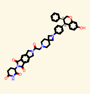 O=C1CCC(N2C(=O)c3cc4c(cc3C2=O)CN(C(=O)CN2CCC3(CC2)CN(c2ccc([C@@H]5c6ccc(O)cc6OC[C@@H]5c5ccccc5)cc2)C3)C4)C(=O)N1